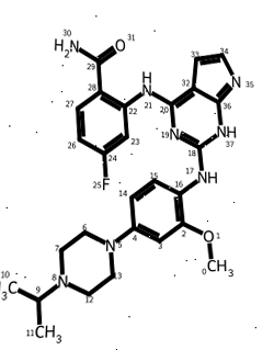 COc1cc(N2CCN(C(C)C)CC2)ccc1Nc1nc(Nc2cc(F)ccc2C(N)=O)c2ccnc-2[nH]1